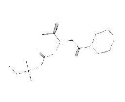 CCC(C)(C)OC(=O)N[C@H](CC(=O)N1CCOCC1)C(C)=O